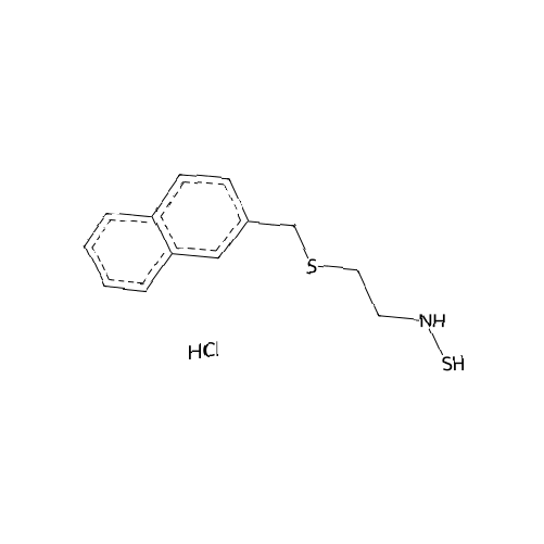 Cl.SNCCSCc1ccc2ccccc2c1